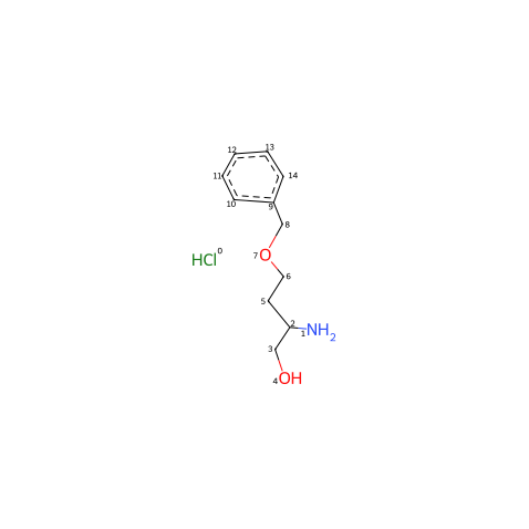 Cl.NC(CO)CCOCc1ccccc1